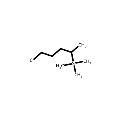 [CH2]C(CCCCl)[Si](C)(C)C